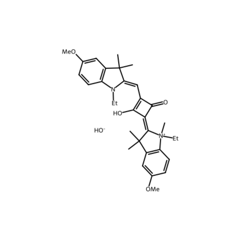 CCN1C(=CC2=C(O)C(=C3C(C)(C)c4cc(OC)ccc4[N+]3(C)CC)C2=O)C(C)(C)c2cc(OC)ccc21.[OH-]